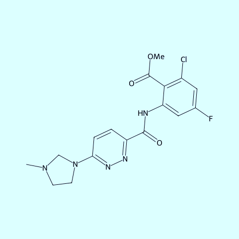 COC(=O)c1c(Cl)cc(F)cc1NC(=O)c1ccc(N2CCN(C)C2)nn1